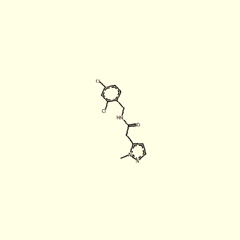 Cn1nccc1CC(=O)NCc1ccc(Cl)cc1Cl